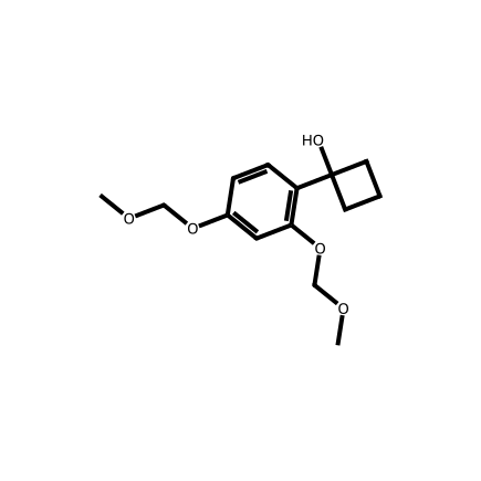 COCOc1ccc(C2(O)CCC2)c(OCOC)c1